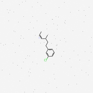 C/C=C\C(C)CCc1cccc(Cl)c1